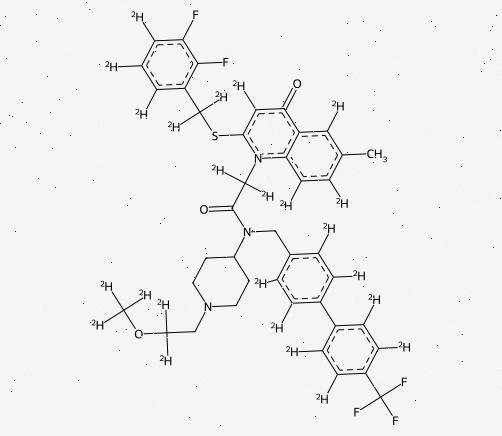 [2H]c1c([2H])c(F)c(F)c(C([2H])([2H])Sc2c([2H])c(=O)c3c([2H])c(C)c([2H])c([2H])c3n2C([2H])([2H])C(=O)N(Cc2c([2H])c([2H])c(-c3c([2H])c([2H])c(C(F)(F)F)c([2H])c3[2H])c([2H])c2[2H])C2CCN(CC([2H])([2H])OC([2H])([2H])[2H])CC2)c1[2H]